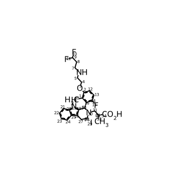 Cc1c(OCCNCCC(F)F)ccc(F)c1[C@@H]1c2[nH]c3ccccc3c2C[C@@H](I)N1C[C@H](C)C(=O)O